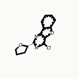 Clc1nc([C@@H]2CCCO2)nc2c1oc1ccccc12